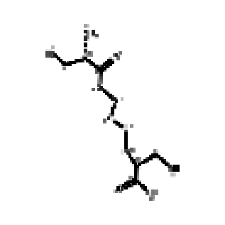 N[C@@H](CS)C(=O)SSSSN[C@@H](CS)C(=O)O